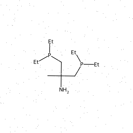 CCP(CC)CC(C)(N)CP(CC)CC